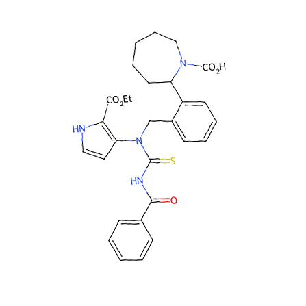 CCOC(=O)c1[nH]ccc1N(Cc1ccccc1C1CCCCCN1C(=O)O)C(=S)NC(=O)c1ccccc1